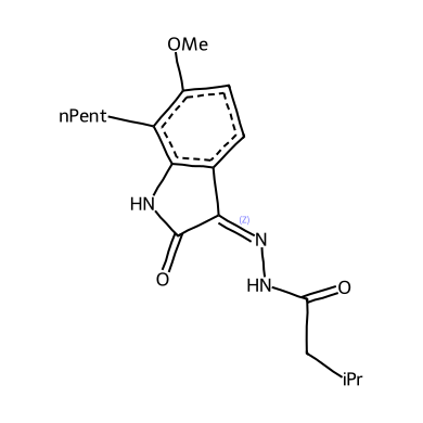 CCCCCc1c(OC)ccc2c1NC(=O)/C2=N\NC(=O)CC(C)C